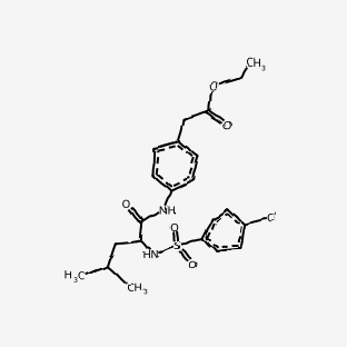 CCOC(=O)Cc1ccc(NC(=O)C(CC(C)C)NS(=O)(=O)c2ccc(Cl)cc2)cc1